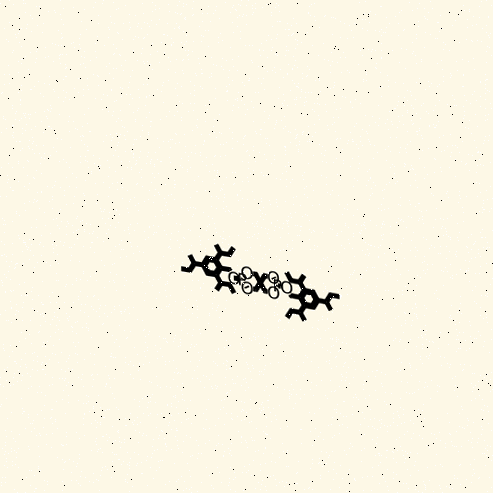 CCC(C)c1cc(C(C)CC)c(COP2OCC3(CO2)COP(OCc2c(C(C)CC)cc(C(C)CC)cc2C(C)CC)OC3)c(C(C)CC)c1